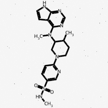 CNS(=O)(=O)c1ccc(N2CCC(C)C(N(C)c3ncnc4[nH]ccc34)C2)nc1